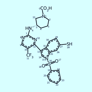 O=C(O)N1CCC[C@H](Nc2ncc(C(F)(F)F)c(-c3cn(S(=O)(=O)c4ccccc4)c4cc(S)ccc34)n2)C1